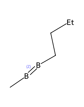 C/B=B\CCCC